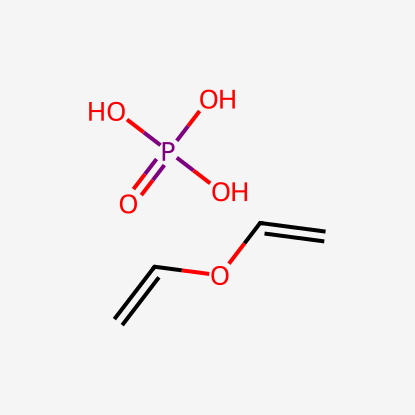 C=COC=C.O=P(O)(O)O